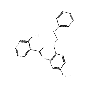 CC(Oc1cc(C=O)ccc1OCCc1ccccc1)c1ccccc1O